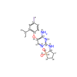 CC(C)c1cc(I)ccc1Oc1cnc(NC2CCCS2(=O)=O)nc1N